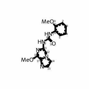 COc1ccccc1NC(=O)Nc1cn2ccnc2c(OC)n1